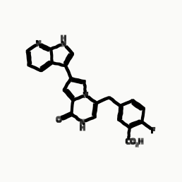 O=C(O)c1cc(Cc2c[nH]c(=O)c3cc(-c4c[nH]c5ncccc45)cn23)ccc1F